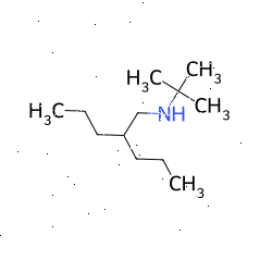 CCCC(CCC)CNC(C)(C)C